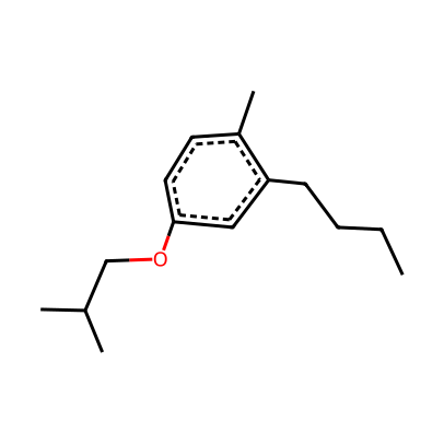 CCCCc1cc(OCC(C)C)ccc1C